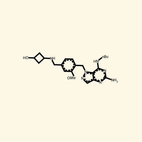 CCCCNc1nc(N)nc2cnn(Cc3ccc(CNC4CC(O)C4)cc3OC)c12